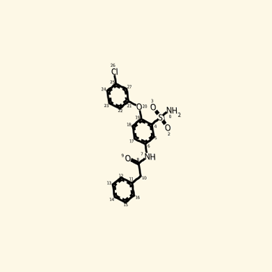 NS(=O)(=O)c1cc(NC(=O)Cc2ccccc2)ccc1Oc1cccc(Cl)c1